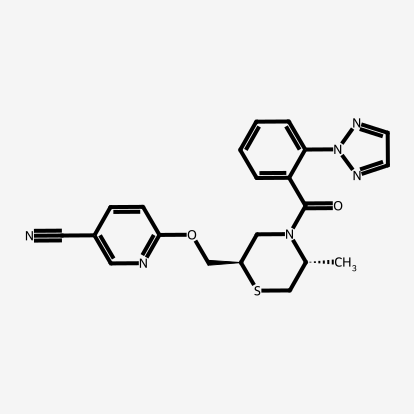 C[C@@H]1CS[C@@H](COc2ccc(C#N)cn2)CN1C(=O)c1ccccc1-n1nccn1